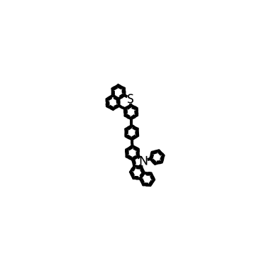 c1ccc(-n2c3cc(-c4ccc(-c5ccc6c(c5)-c5cccc7cccc(c57)S6)cc4)ccc3c3ccc4ccccc4c32)cc1